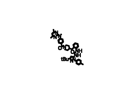 Cc1ccc(-n2nc(C(C)(C)C)cc2NC(=O)Nc2ccccc2CC2CCN(C(=O)c3ccc(N(C)c4nc(C)cc(C)n4)cc3)CC2)cc1